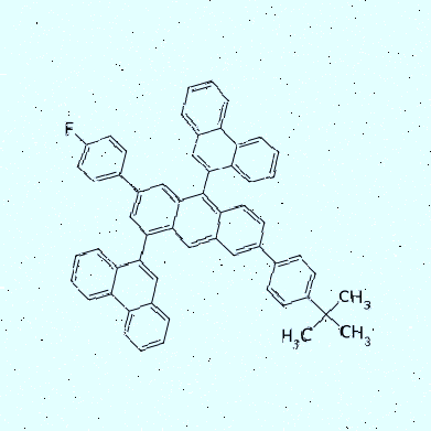 CC(C)(C)c1ccc(-c2ccc3c(-c4cc5ccccc5c5ccccc45)c4cc(-c5ccc(F)cc5)cc(-c5cc6ccccc6c6ccccc56)c4cc3c2)cc1